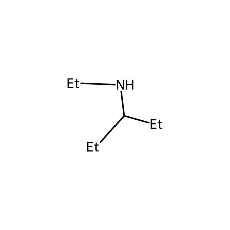 [CH2]CNC(CC)CC